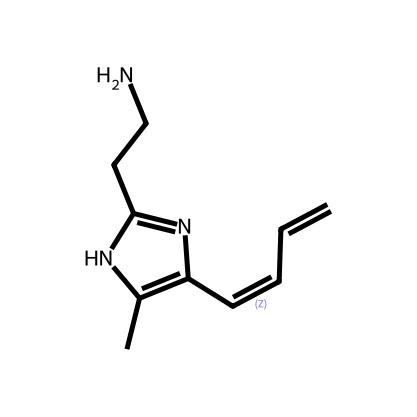 C=C/C=C\c1nc(CCN)[nH]c1C